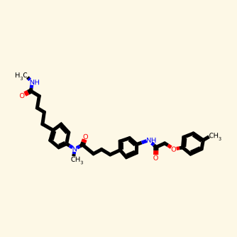 CNC(=O)CCCCc1ccc(N(C)C(=O)CCCc2ccc(NC(=O)COc3ccc(C)cc3)cc2)cc1